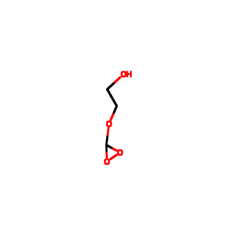 OCCOC1OO1